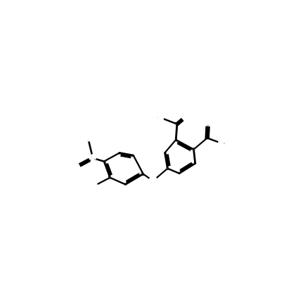 O=C(O)c1ccc(Oc2ccc([N+](=O)[O-])c(O)c2)cc1C(=O)O